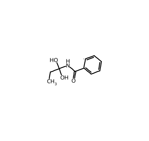 CCC(O)(O)NC(=O)c1[c]cccc1